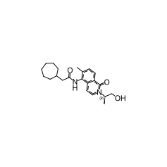 Cc1ccc2c(=O)n([C@H](C)CO)ccc2c1NC(=O)CC1CCCCCC1